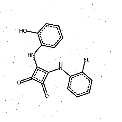 CCc1ccccc1Nc1c(Nc2ccccc2O)c(=O)c1=O